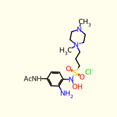 CC(=O)Nc1ccc(N(O)S(=O)(=O)CCC[N+]2(C)CCN(C)CC2)c(N)c1.[Cl-]